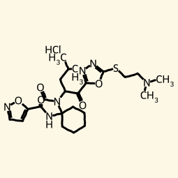 CC(C)CC(C(=O)c1nnc(SCCN(C)C)o1)N(C=O)C1(NC(=O)c2ccno2)CCCCC1.Cl